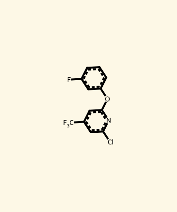 Fc1cccc(Oc2cc(C(F)(F)F)cc(Cl)n2)c1